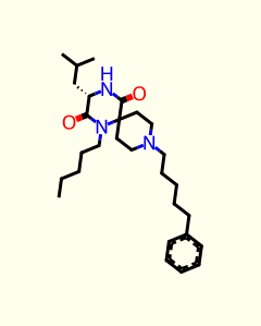 CCCCCN1C(=O)[C@H](CC(C)C)NC(=O)C12CCN(CCCCCc1ccccc1)CC2